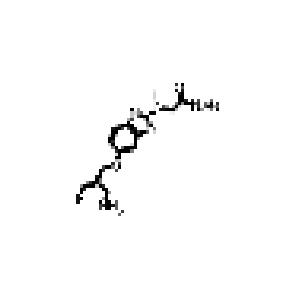 CNC(=O)CNc1nc2ccc(OCC(=CF)CN)cc2o1